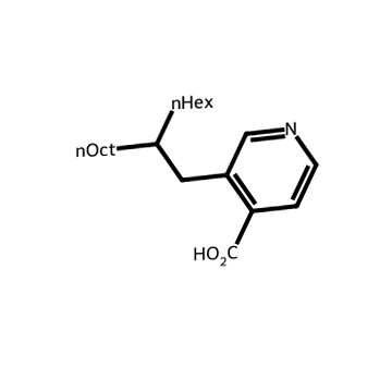 CCCCCCCCC(CCCCCC)Cc1cnccc1C(=O)O